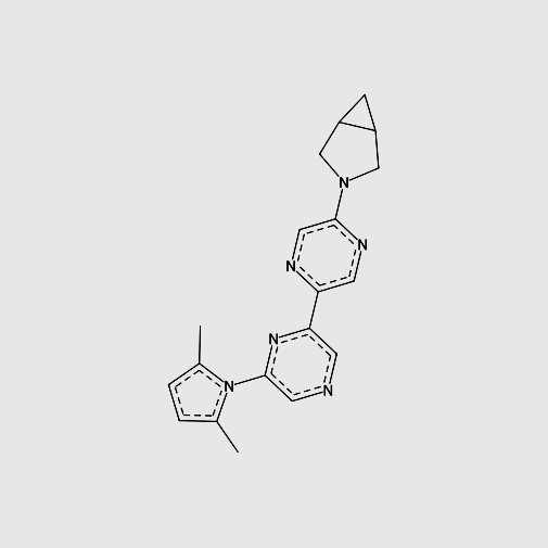 Cc1ccc(C)n1-c1cncc(-c2cnc(N3CC4CC4C3)cn2)n1